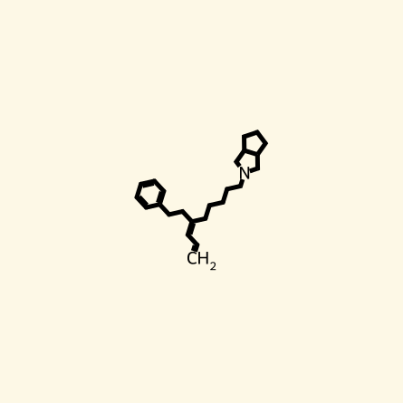 C=C/C=C(\CCCCCN1CC2CCCC2C1)CCc1ccccc1